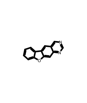 c1ccc2c(c1)oc1cc3ncncc3cc12